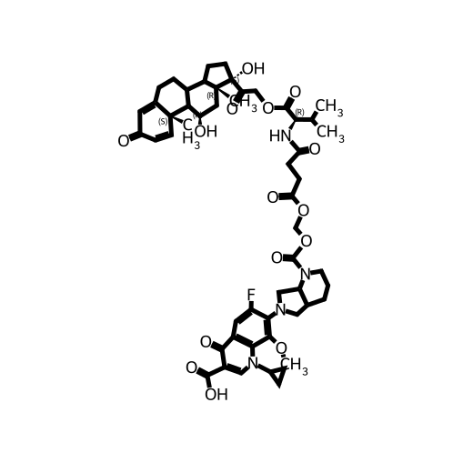 COc1c(N2CC3CCCN(C(=O)OCOC(=O)CCC(=O)N[C@@H](C(=O)OCC(=O)[C@]4(O)CCC5C6CCC7=CC(=O)C=C[C@@]7(C)C6[C@H](O)C[C@]54C)C(C)C)C3C2)c(F)cc2c(=O)c(C(=O)O)cn(C3CC3)c12